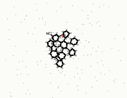 N#Cc1cc(C#N)c(-c2c(-c3ccccc3)c(-c3ccccc3)c(-c3ccccc3)c(-c3ccccc3)c2-n2c3ccccc3c3ccc(-c4ccccc4)cc32)c(C#N)c1